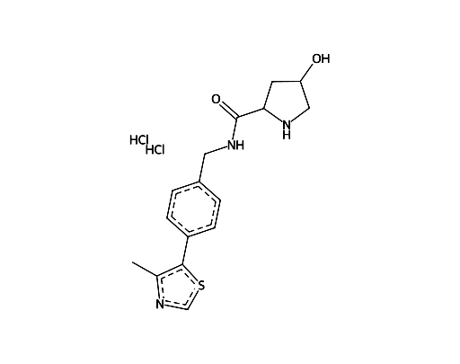 Cc1ncsc1-c1ccc(CNC(=O)C2CC(O)CN2)cc1.Cl.Cl